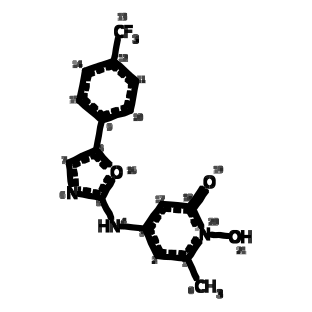 Cc1cc(Nc2ncc(-c3ccc(C(F)(F)F)cc3)o2)cc(=O)n1O